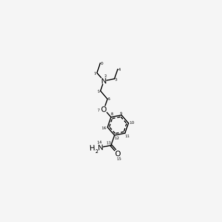 CCN(CC)CCOc1cccc(C(N)=O)c1